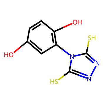 Oc1ccc(O)c(-n2c(S)nnc2S)c1